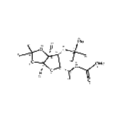 COC(=O)OC(C)[C@@H]1O[C@H]2OC(C)(C)O[C@H]2[C@@H]1O[Si](C)(C)C(C)(C)C